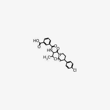 CC(C)C(NC(=O)c1cccc(C(=O)O)c1)C(=O)N1CCC(c2ccc(Cl)cc2)CC1